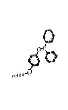 CCCCCCOc1ccc(OP(c2ccccc2)c2ccccc2)cc1